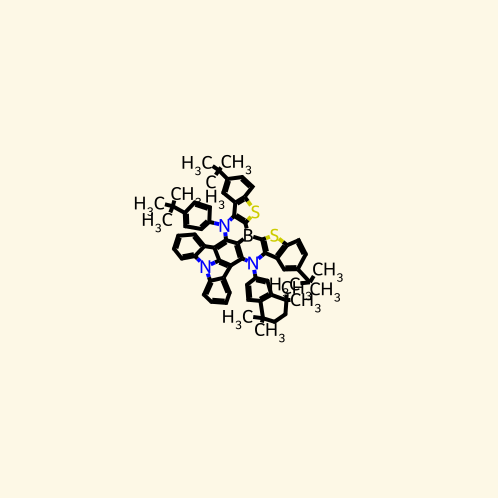 CC(C)(C)c1ccc(N2c3c(sc4ccc(C(C)(C)C)cc34)B3c4sc5ccc(C(C)(C)C)cc5c4N(c4ccc5c(c4)C(C)(C)CCC5(C)C)c4c3c2c2c3ccccc3n3c5ccccc5c4c23)cc1